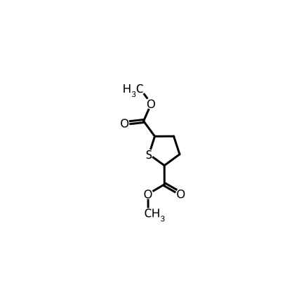 COC(=O)C1CCC(C(=O)OC)S1